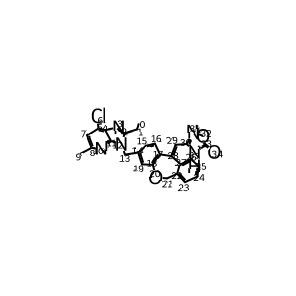 CCc1nc2c(Cl)cc(C)nc2n1Cc1ccc2c(c1)OCc1ccccc1C2=Cc1noc(=O)[nH]1